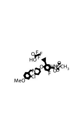 COc1ccc(CN2CCCC(Oc3cc(F)c(C(=O)NS(C)(=O)=O)cc3C3CC3)C2)c(Cl)c1.O=C(O)C(F)(F)F